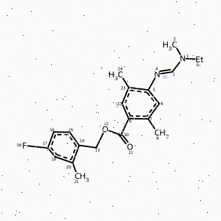 CCN(C)/C=N/c1cc(C)c(C(=O)OCc2ccc(F)cc2C)cc1C